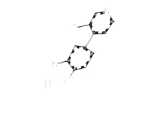 Nc1cc(-c2ccncc2F)ccc1C(=O)O